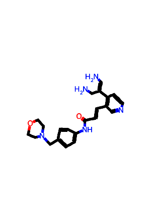 N/C=C(\CN)c1ccncc1/C=C/C(=O)Nc1ccc(CN2CCOCC2)cc1